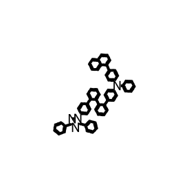 c1ccc(-c2nc(-c3ccccc3)n(-c3ccc(-c4ccccc4-c4ccccc4-c4ccc(N(c5ccccc5)c5ccc(-c6cccc7ccccc67)cc5)cc4)cc3)n2)cc1